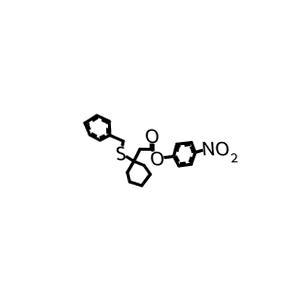 O=C(CC1(SCc2ccccc2)CCCCC1)Oc1ccc([N+](=O)[O-])cc1